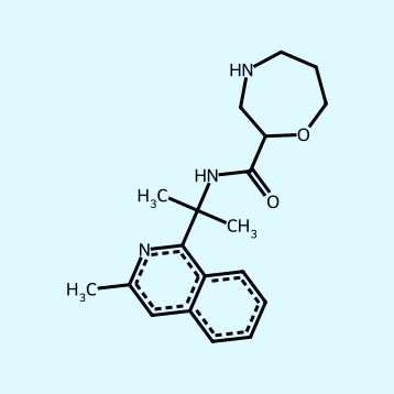 Cc1cc2ccccc2c(C(C)(C)NC(=O)C2CNCCCO2)n1